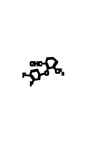 O=Cc1cccc(C(F)(F)F)c1Oc1ccc(F)c(F)c1